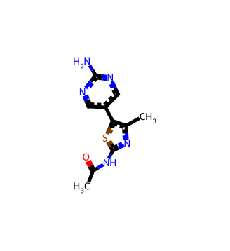 CC(=O)Nc1nc(C)c(-c2cnc(N)nc2)s1